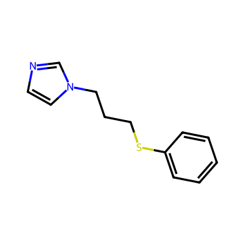 c1ccc(SCCCn2ccnc2)cc1